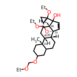 CCOCOC1CC[C@@]2(C)C(CC[C@@H]3[C@H]2CC[C@]2(C)C(O)(C4(OCC)CC4)C=C[C@@]32OCOCC)C1